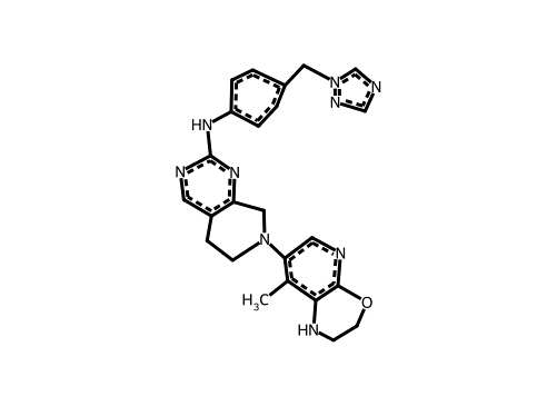 Cc1c(N2CCc3cnc(Nc4ccc(Cn5cncn5)cc4)nc3C2)cnc2c1NCCO2